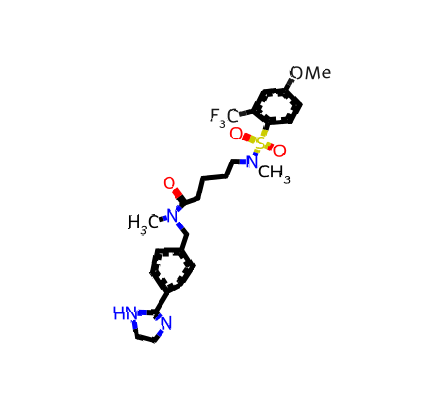 COc1ccc(S(=O)(=O)N(C)CCCCC(=O)N(C)Cc2ccc(C3=NCCN3)cc2)c(C(F)(F)F)c1